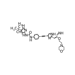 CC(C)(C)c1cc(NC(=O)Nc2ccc(C#Cc3c[nH]c(/C=C(\C=N)OCCN4CCOCC4)n3)cc2)n[nH]1